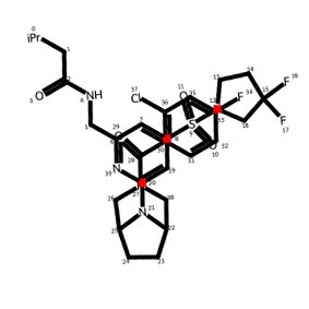 CC(C)CC(=O)NCc1cc(S(=O)(=O)N2CCC(F)(F)C2)cc(N2C3CCC2CN(C(=O)c2ccc(F)cc2Cl)C3)n1